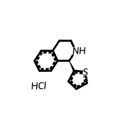 Cl.c1csc([C@@H]2NCCc3ccccc32)c1